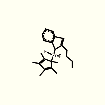 CCCCC1=Cc2ccccc2[CH]1[Zr]([F])([F])[C]1(C)C(C)=C(C)C(C)=C1C